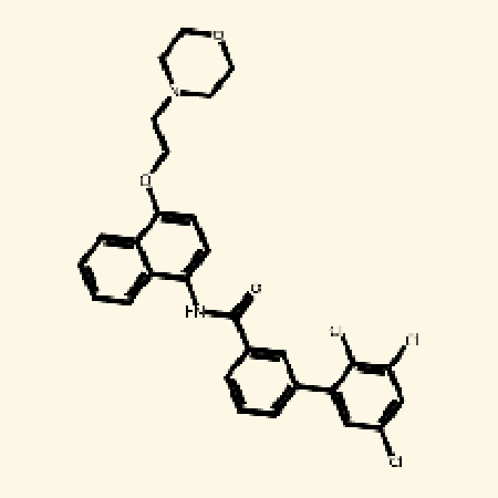 O=C(Nc1ccc(OCCN2CCOCC2)c2ccccc12)c1cccc(-c2cc(Cl)cc(Cl)c2Cl)c1